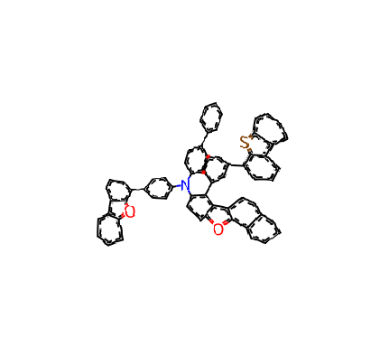 c1ccc(-c2ccc(N(c3ccc(-c4cccc5c4oc4ccccc45)cc3)c3ccc4oc5c6ccccc6ccc5c4c3-c3cccc(-c4cccc5c4sc4ccccc45)c3)cc2)cc1